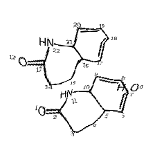 O.O=C1CCC2C=CC=CC2N1.O=C1CCC2C=CC=CC2N1